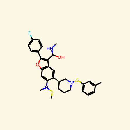 CNC(O)c1c(-c2ccc(F)cc2)oc2cc(N(C)SC)c([C@@H]3CCCN(Sc4cccc(C)c4)C3)cc12